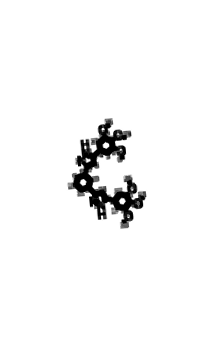 COc1cc(-c2cc(-c3cccc(-c4cc(-c5cc(OC)c(OC)c(OC)c5)[nH]n4)c3)n[nH]2)cc(OC)c1OC